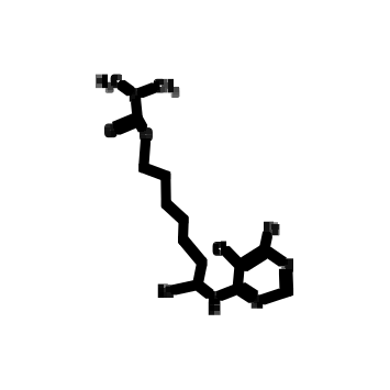 CCc1ncnc(NC(CC)CCCCCCOC(=O)N(C)C)c1Cl